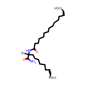 CCCCCCCC/C=C\CCCCCCCCCCCC(=O)NC(CC)(CCCCCC/C=C\CCCCCCCC)C(N)=O